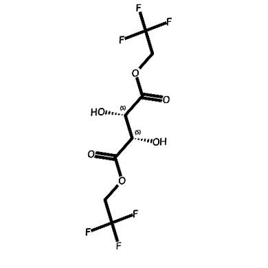 O=C(OCC(F)(F)F)[C@@H](O)[C@H](O)C(=O)OCC(F)(F)F